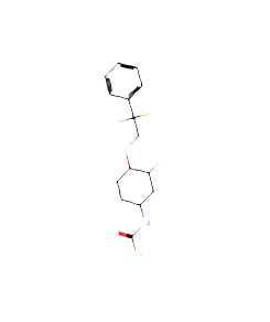 O=C(O)NC1CCC(OCC(F)(F)c2ccccc2)C(F)C1